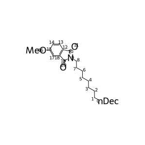 CCCCCCCCCCCCCCCCCCN1C(=O)c2ccc(OC)cc2C1=O